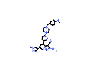 C=C(/C=C\C(=C)N(C)C)CN1CCN(c2ccc(-c3cc(-c4cnn(C)c4)cn4nc(N)c(C#N)c34)cn2)CC1